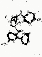 Cc1ccc(C(=O)N2C[C@H]3C[C@@H](Nc4cnc(C(F)(F)F)cn4)[C@@H]2C3)c(-c2ccccn2)n1